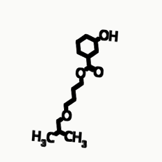 CC(C)COCCCCOC(=O)C1CCCC(O)C1